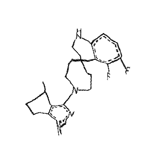 CC1CCc2ncnc(N3CCC4(CC3)CNc3ccc(F)c(F)c34)c21